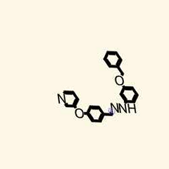 C(=N\Nc1cccc(OCc2ccccc2)c1)/c1ccc(Oc2cccnc2)cc1